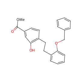 COC(=O)c1ccc(CCc2ccccc2OCc2ccccc2)c(O)c1